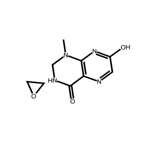 C1CO1.CN1CNC(=O)c2ncc(O)nc21